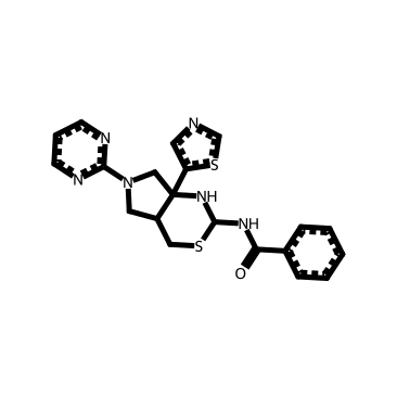 O=C(NC1NC2(c3cncs3)CN(c3ncccn3)CC2CS1)c1ccccc1